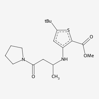 COC(=O)c1sc(C(C)(C)C)cc1NC(C)CC(=O)N1CCCC1